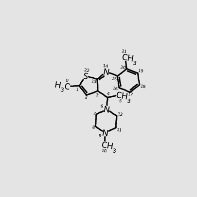 CC1=CC(C(C)N2CCN(C)CC2)/C(=N\c2ccccc2C)S1